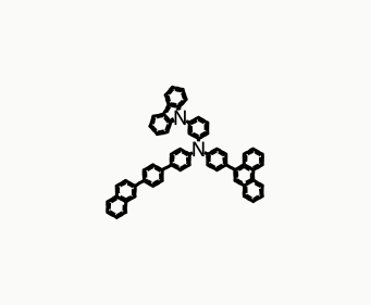 c1cc(N(c2ccc(-c3ccc(-c4ccc5ccccc5c4)cc3)cc2)c2ccc(-c3cc4ccccc4c4ccccc34)cc2)cc(-n2c3ccccc3c3ccccc32)c1